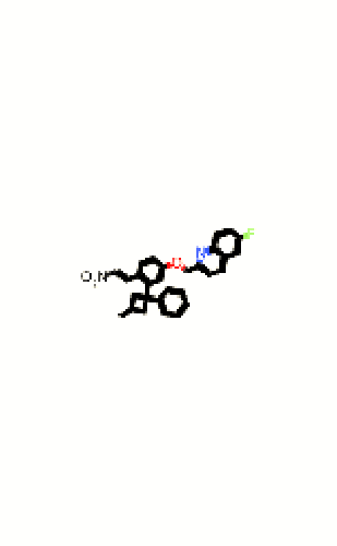 CC1CC(c2ccccc2)(c2cc(OCc3ccc4cc(F)ccc4n3)ccc2/C=C/[N+](=O)[O-])C1